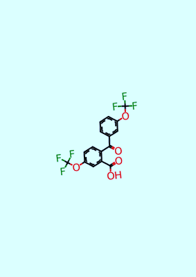 O=C(O)c1cc(OC(F)(F)F)ccc1C(=O)c1cccc(OC(F)(F)F)c1